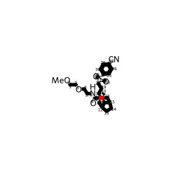 COCCOCCNC(=O)N(C)C1C2CCC1CN(CCCS(=O)(=O)c1ccc(C#N)cc1)C2